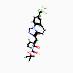 CC(C)(C)OC(=O)N1CCC/C(=C\c2ncn3c2CCc2cc(C(F)(F)F)ccc2-3)C1=O